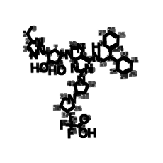 CCc1cnn([C@H]2C[C@@H](n3cnc4c(NCC(c5ccccc5)c5ccccc5)nc(N5CC[C@@H](N6CCCC6)C5)nc43)[C@H](O)[C@@H]2O)n1.O=C(O)C(F)(F)F